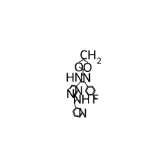 C=C1COC(c2nc(-c3ccc(F)cc3)c(-c3ccnc(NCc4cccnc4)n3)[nH]2)OC1